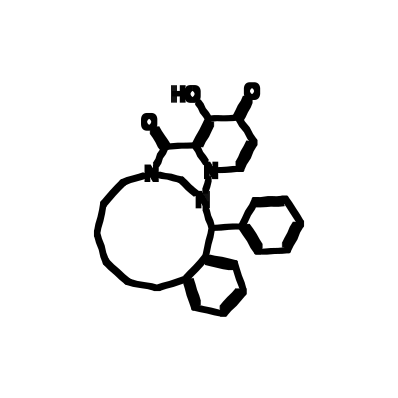 O=C1c2c(O)c(=O)ccn2N2CN1CCCCCCc1ccccc1C2c1ccccc1